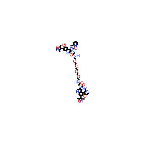 COc1cc2c(cc1-c1c(C)noc1C)ncc1c2n([C@H](C)c2ccccn2)c(=O)n1CC(=O)NCCOCCOCCOCCOCCNC(=O)Cn1c(=O)n([C@H](C)c2ccccn2)c2c3cc(OC)c(-c4c(C)noc4C)cc3ncc21